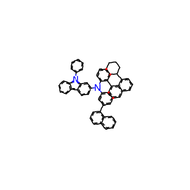 c1ccc(-n2c3ccccc3c3ccc(N(c4cccc(-c5cccc6ccccc56)c4)c4ccccc4-c4cccc5cccc(C6CCCCC6)c45)cc32)cc1